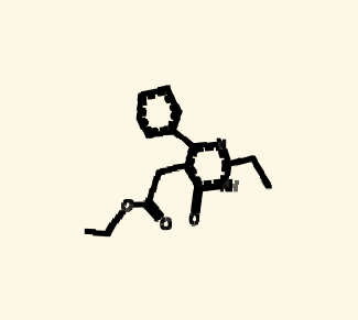 CCOC(=O)Cc1c(-c2ccccc2)nc(CC)[nH]c1=O